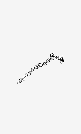 CCCOCCOCCOCCOCCOCCOCCOCCOCCOCCOC(=O)C(C)CNCCC[Si](C)(OCC)OCC